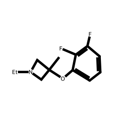 CCN1CC(C)(Oc2cccc(F)c2F)C1